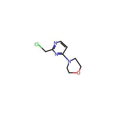 ClCc1nccc(N2CCOCC2)n1